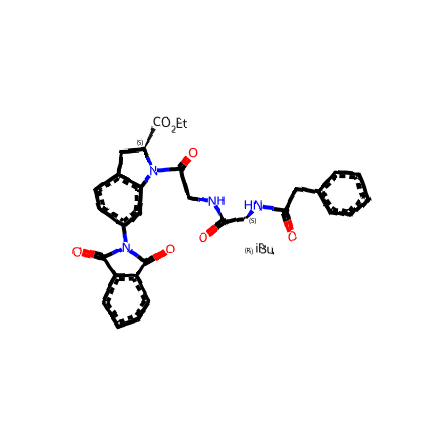 CCOC(=O)[C@@H]1Cc2ccc(N3C(=O)c4ccccc4C3=O)cc2N1C(=O)CNC(=O)[C@@H](NC(=O)Cc1ccccc1)[C@H](C)CC